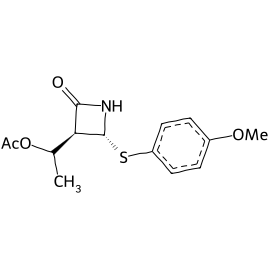 COc1ccc(S[C@H]2NC(=O)[C@@H]2C(C)OC(C)=O)cc1